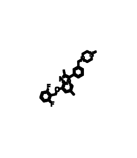 Cc1cc(OCc2c(F)cccc2F)c2nc(C)c(-c3cccc(CN4CCN(C)CC4)c3)n2c1